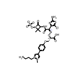 C[n+]1cc(-c2ccc(OC[C@H](O/N=C(\C(=O)NC3C(=O)N(OS(=O)(=O)[O-])C3(C)C)c3nc(N)sc3Cl)C(=O)O)cc2)cn1CCCN